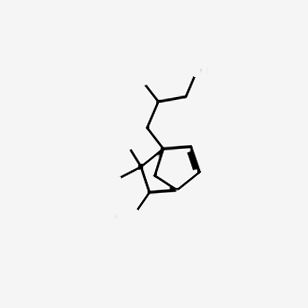 CCC(CO)CC12C=CC(C1)C(C(=O)O)C2(CC)C(=O)O